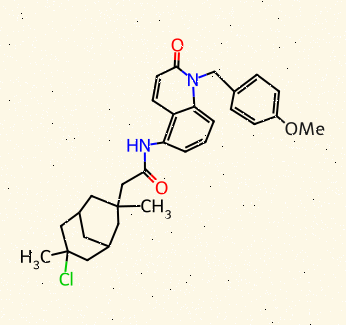 COc1ccc(Cn2c(=O)ccc3c(NC(=O)CC4(C)CC5CC(CC(C)(Cl)C5)C4)cccc32)cc1